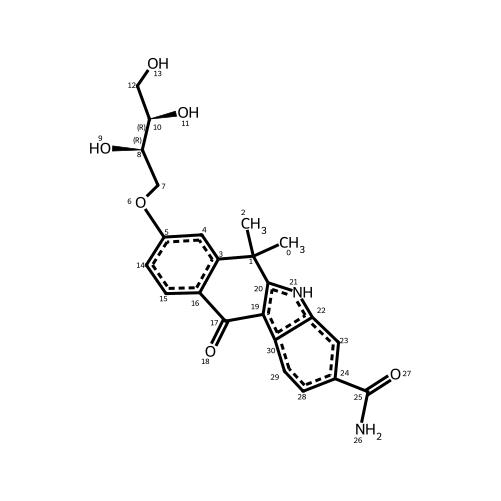 CC1(C)c2cc(OC[C@@H](O)[C@H](O)CO)ccc2C(=O)c2c1[nH]c1cc(C(N)=O)ccc21